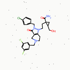 NC(=O)C1(CCn2c3c(c(=O)n2Cc2ccc(Cl)cc2)CN(Cc2cc(F)cc(F)c2)CC3)CC1CO